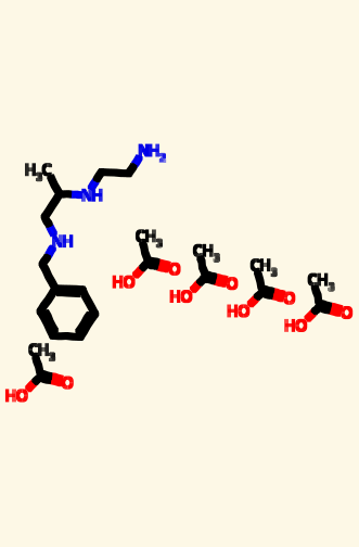 CC(=O)O.CC(=O)O.CC(=O)O.CC(=O)O.CC(=O)O.CC(CNCc1ccccc1)NCCN